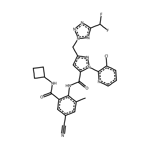 Cc1cc(C#N)cc(C(=O)NC2CCC2)c1NC(=O)c1cc(Cn2nnc(C(F)F)n2)nn1-c1ncccc1Cl